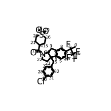 CC(F)(c1ccc2c(c1)CC1N(C(=O)C3CCS(=O)(=O)CC3)CCC21Cc1ccc(Cl)cc1)C(F)(F)F